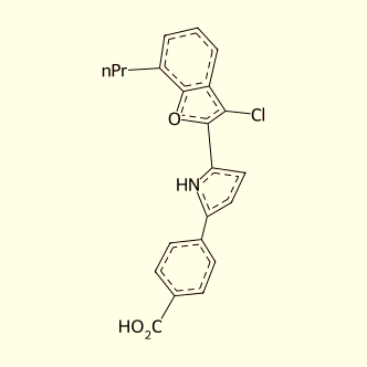 CCCc1cccc2c(Cl)c(-c3ccc(-c4ccc(C(=O)O)cc4)[nH]3)oc12